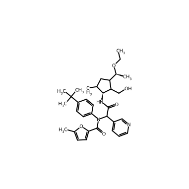 CCO[C@@H](C)C1CC(C)[C@H](NC(=O)C(c2cccnc2)N(C(=O)c2ccc(C)o2)c2ccc(C(C)(C)C)cc2)C1CO